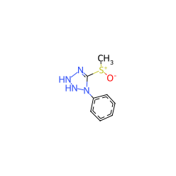 C[S+]([O-])C1=NNNN1c1ccccc1